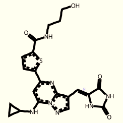 O=C1NC(=O)/C(=C/c2cnn3c(NC4CC4)cc(-c4ccc(C(=O)NCCCO)s4)nc23)N1